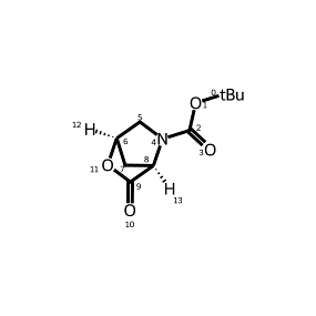 CC(C)(C)OC(=O)N1C[C@H]2C[C@@H]1C(=O)O2